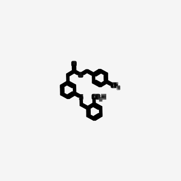 O=C(Cc1cccc(SCc2ccccc2C(=O)O)c1)OCc1ccc(C(F)(F)F)cc1